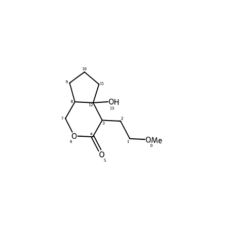 COCCC1C(=O)OCC2CCCC21O